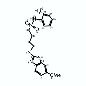 COc1ccc2nc(SCCCCS(=O)(=O)Nc3ccccc3C)sc2c1